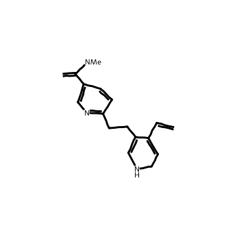 C=CC1=CCNC=C1CCc1ccc(C(=C)NC)cn1